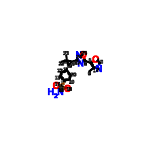 Cc1ncoc1-c1nc([C@H]2[C@H](c3ccc(S(N)(=O)=O)cc3)C2(C)C)no1